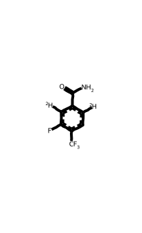 [2H]c1cc(C(F)(F)F)c(F)c([2H])c1C(N)=O